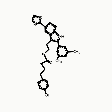 Cc1cc(C)cc(-c2[nH]c3ccc(-c4nccs4)cc3c2CCNC(=O)CCCc2ccc(O)cc2)c1